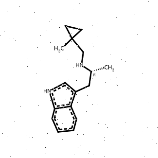 C[C@H](Cc1c[nH]c2ccccc12)NCC1(C)CC1